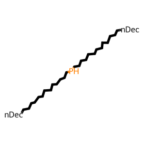 CCCCCCCCCCCCCCCCCCCCCCCPCCCCCCCCCCCCCCCCCCCCCCC